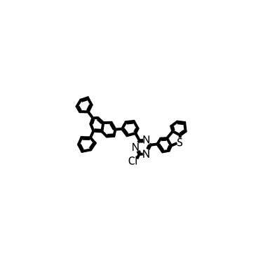 Clc1nc(-c2cccc(-c3ccc4c(-c5ccccc5)cc(-c5ccccc5)cc4c3)c2)nc(-c2ccc3sc4ccccc4c3c2)n1